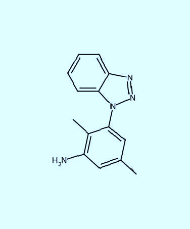 Cc1cc(N)c(C)c(-n2nnc3ccccc32)c1